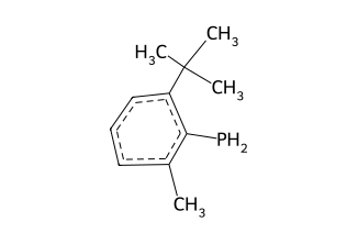 Cc1cccc(C(C)(C)C)c1P